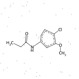 CCC(=O)Nc1ccc(Cl)c(OC)c1